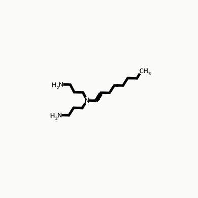 CCCCCCC=CN(CCCN)CCCN